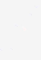 CC(C)(C(=O)Nc1ccc(-c2cnccn2)cc1)c1csc(N)n1